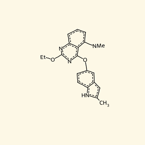 CCOc1nc(Oc2ccc3[nH]c(C)cc3c2)c2c(NC)cccc2n1